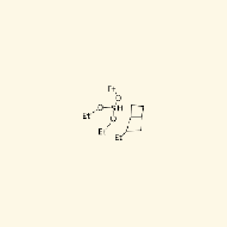 CCC1CC2CCC12.CCO[SiH](OCC)OCC